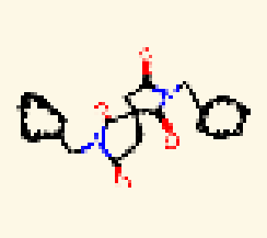 O=C1CC2(CC(=O)N(Cc3ccccc3)C2=O)C(=O)N1Cc1ccccc1